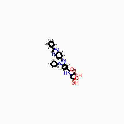 O=C(O)CC(NC(=O)c1ccc2c(c1)nc(-c1ccc3nc(-c4ccccc4)cnc3c1)n2C1CCCCC1)C(=O)O